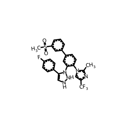 Cc1nc(C(F)(F)F)cn1-c1ccc(-c2cccc(S(C)(=O)=O)c2)cc1N1NNC=C1c1ccc(F)cc1